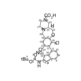 CC(C)(C)OC(=O)Nc1sc2cccc(-c3c(Cl)cc4c(c3Cl)OC[C@@H]3CN(C(=O)O)CCN3C4)c2c1C#N